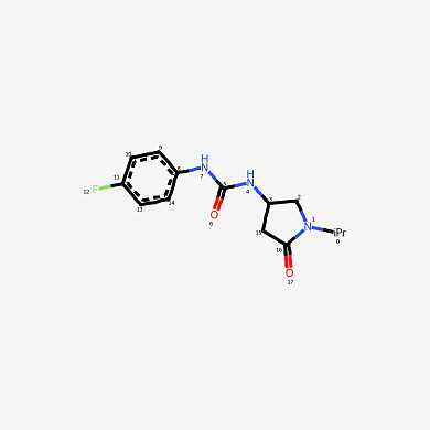 CC(C)N1CC(NC(=O)Nc2ccc(F)cc2)CC1=O